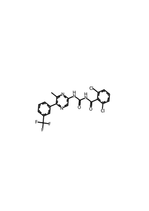 Cc1nc(NC(=O)NC(=O)c2c(Cl)cccc2Cl)cnc1-c1cccc(C(F)(F)F)c1